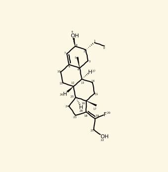 CC[C@@H]1C[C@@]2(C)C(=C[C@H]1O)CC[C@@H]1[C@@H]2CC[C@]2(C)C(=C(F)CO)CC[C@@H]12